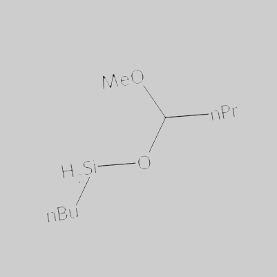 CCCC[SiH2]OC(CCC)OC